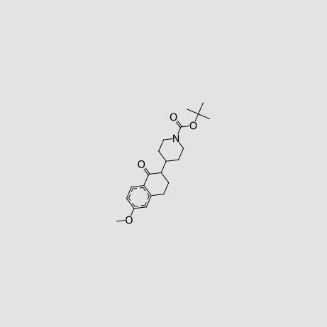 COc1ccc2c(c1)CCC(C1CCN(C(=O)OC(C)(C)C)CC1)C2=O